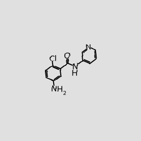 Nc1ccc(Cl)c(C(=O)Nc2cccnc2)c1